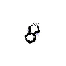 C/C=c1/cccc/c1=C/N